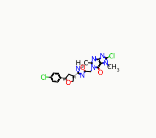 Cc1nc2nc(Cl)n(C)c2c(=O)n1Cc1nc([C@@H]2CO[C@@H](c3ccc(Cl)cc3)C2)no1